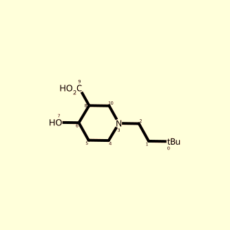 CC(C)(C)CCN1CCC(O)C(C(=O)O)C1